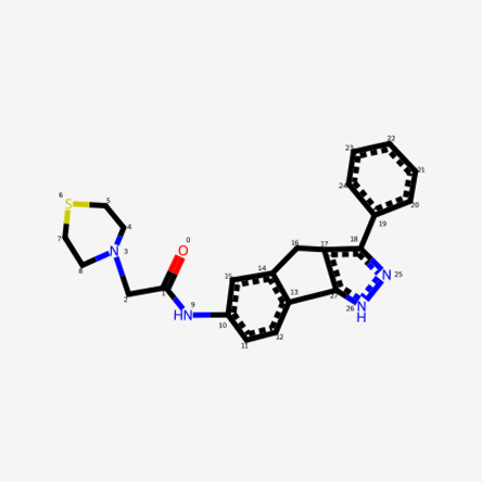 O=C(CN1CCSCC1)Nc1ccc2c(c1)Cc1c(-c3ccccc3)n[nH]c1-2